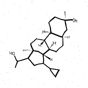 CC(O)C1CC(C2CC2)[C@H]2[C@@H]3CC[C@@H]4C[C@](C)(O)CC[C@@H]4[C@H]3CC[C@]12C